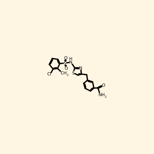 Cc1c(Cl)cccc1S(=O)(=O)Nc1nc(Cc2cccc(C(N)=O)c2)cs1